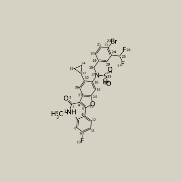 CNC(=O)c1c(-c2ccc(F)cc2)oc2cc(N(Cc3ccc(Br)c(C(F)F)c3)[SH](=O)=O)c(C3CC3)cc12